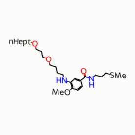 CCCCCCCOCCCOCCCCNc1cc(C(=O)NCCCSC)ccc1OC